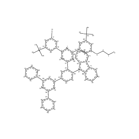 CCCCc1cc(-c2nc(-c3cc(I)cc(C(C)(C)C)c3)nc(-c3cc(-c4cc(-c5ccccc5)nc(-c5ccccc5)n4)ccc3-n3c4ccccc4c4ccccc43)n2)cc(C(C)(C)C)c1